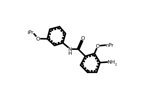 CCCOc1c(N)cccc1C(=O)Nc1cccc(OC(C)C)c1